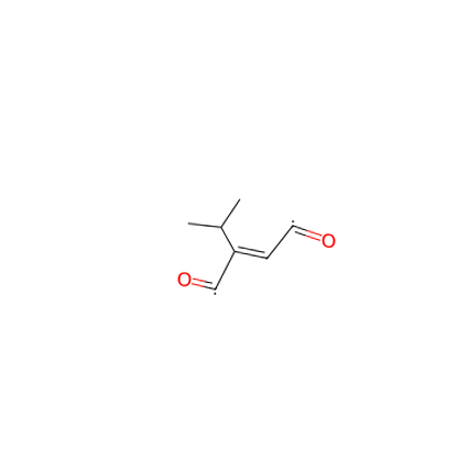 CC(C)/C([C]=O)=C\[C]=O